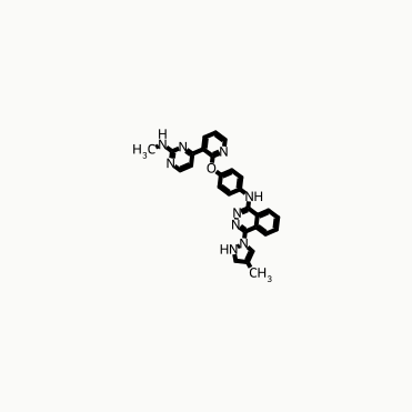 CNc1nccc(-c2cccnc2Oc2ccc(Nc3nnc(N4C=C(C)CN4)c4ccccc34)cc2)n1